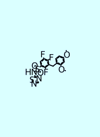 COc1ccc(Cc2c(F)c(F)cc(S(=O)(=O)Nc3ncns3)c2F)c(OC)c1